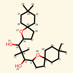 CC1(C)CCC2(CCC(C(O)C(C)(C)C(O)C3CCC4(CCC(C)(C)CC4)O3)O2)CC1